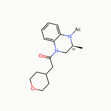 CC(=O)N1c2ccccc2N(C(=O)CC2CCOCC2)C[C@@H]1C